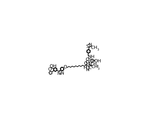 Cc1ncsc1-c1ccc(CNC(=O)[C@@H]2C[C@@H](O)CN2C(=O)[C@@H](NC(=O)CCCCCCCCCCCOc2ccc3c(-c4ccc(C(=O)O)c(C5CCCC5)c4)ncnc3c2)C(C)(C)C)cc1